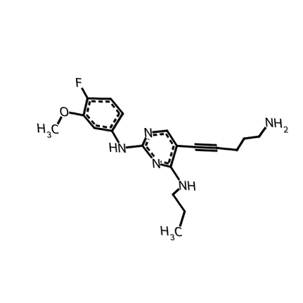 CCCNc1nc(Nc2ccc(F)c(OC)c2)ncc1C#CCCCN